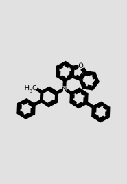 CC1C=C(N(c2ccc(-c3ccccc3)cc2)c2cccc3oc4ccccc4c23)C=CC1c1ccccc1